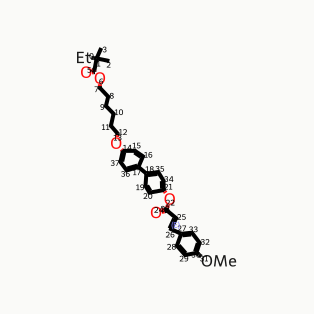 CCC(C)(C)C(=O)OCCCCCCOc1ccc(-c2ccc(OC(=O)/C=C/c3ccc(OC)cc3)cc2)cc1